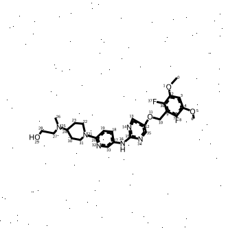 COc1cc(OC)c(F)c(COc2cnc(Nc3ccc(N4CCC(N(C)CCO)CC4)nc3)nc2)c1F